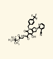 CC(C)(C)OC(=O)CNC(=O)c1c(O)c2c(n(Cc3ccc(C(F)(F)F)cc3)c1=O)CN(c1ncccc1C#N)C2